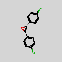 Clc1ccc([C@H]2O[C@@H]2c2ccc(Cl)cc2)cc1